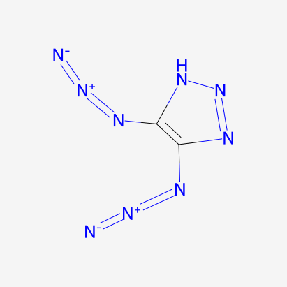 [N-]=[N+]=Nc1nn[nH]c1N=[N+]=[N-]